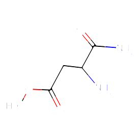 COC(=O)CC(N)C(N)=O